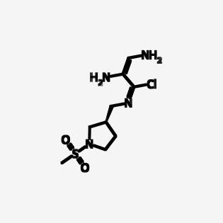 CS(=O)(=O)N1CC[C@H](C/N=C(Cl)\C(N)=C/N)C1